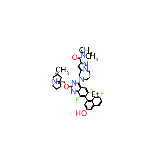 CCc1c(F)ccc2cc(O)cc(-c3c(F)cc4c(N5CCCn6nc(C(=O)N(C)C)cc6C5)nc(OC[C@@]56CCCN5C[C@H](C)C6)nc4c3F)c12